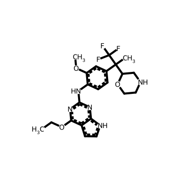 CCOc1nc(Nc2ccc(C(C)(C3CNCCO3)C(F)(F)F)cc2OC)nc2[nH]ccc12